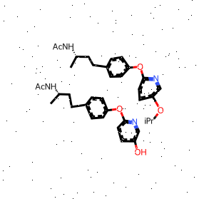 CC(=O)N[C@@H](C)CCc1ccc(Oc2ccc(O)cn2)cc1.CC(=O)N[C@@H](C)CCc1ccc(Oc2ccc(OC(C)C)cn2)cc1